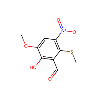 COc1cc([N+](=O)[O-])c(SC)c(C=O)c1O